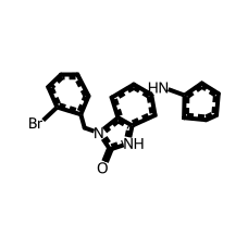 O=c1[nH]c2cc(Nc3ccccc3)ccc2n1Cc1ccccc1Br